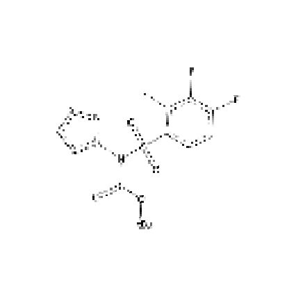 CC(C)(C)OC(=O)N(c1ccsn1)S(=O)(=O)c1ccc(F)c(F)c1F